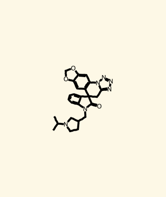 CC(C)N1CCC(CN2C(=O)C3(Cc4nnnn4-c4cc5c(cc43)OCO5)c3ccccc32)C1